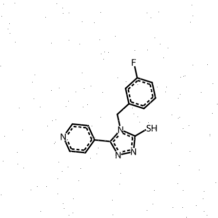 Fc1cccc(Cn2c(S)nnc2-c2ccncc2)c1